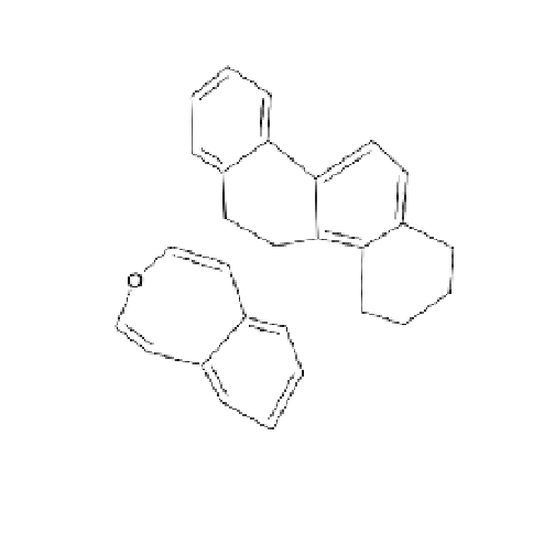 C1=Cc2ccccc2C=CO1.c1ccc2c(c1)CCc1c-2ccc2c1CCCC2